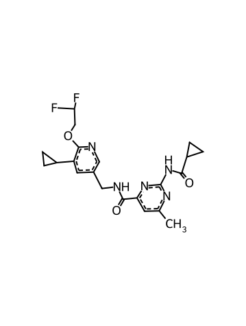 Cc1cc(C(=O)NCc2cnc(OCC(F)F)c(C3CC3)c2)nc(NC(=O)C2CC2)n1